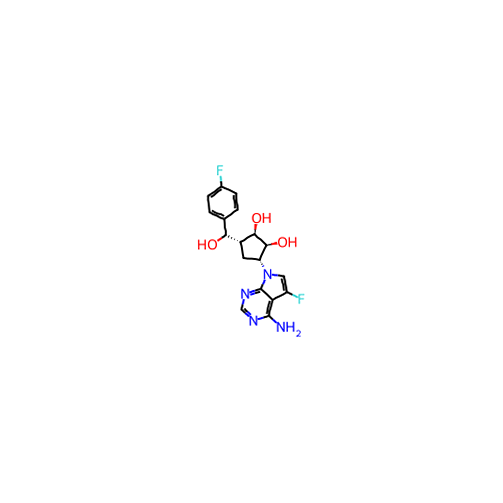 Nc1ncnc2c1c(F)cn2[C@@H]1C[C@H](C(O)c2ccc(F)cc2)[C@@H](O)[C@H]1O